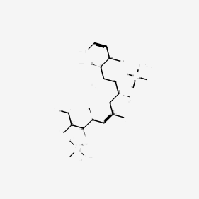 CC/C=C\C(C)[C@H](O)[C@@H](C)[C@H](O[Si](C)(C)C(C)(C)C)[C@@H](C)C/C(C)=C\[C@H](C)[C@@H](O[Si](C)(C)C(C)(C)C)C(C)CO